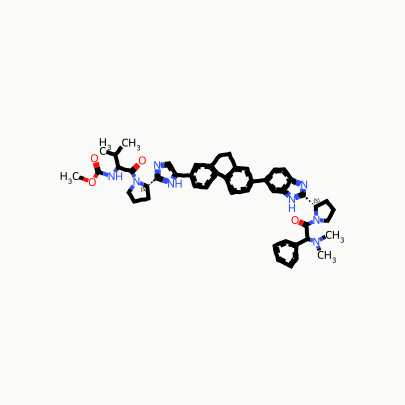 COC(=O)NC(C(=O)N1CCC[C@H]1c1ncc(-c2ccc3c(c2)CCc2cc(-c4ccc5nc([C@@H]6CCCN6C(=O)C(c6ccccc6)N(C)C)[nH]c5c4)ccc2-3)[nH]1)C(C)C